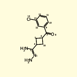 N/N=C(\N)C1CC(C(=O)c2cccc(Cl)c2)C1